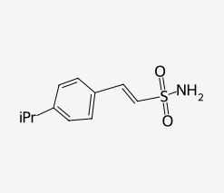 CC(C)c1ccc(C=CS(N)(=O)=O)cc1